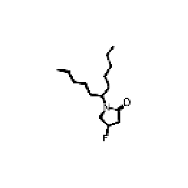 CCCCCC(CCCCC)N1CC(F)CC1=O